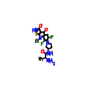 CCn1c2s[nH]c(=O)c2c(=O)c2cc(F)c(N3CCC(NC(=O)[C@@H](N)C(C)C)C3)c(F)c21